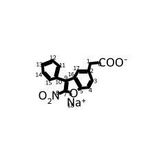 O=C([O-])Cc1ccc2oc([N+](=O)[O-])c(-c3ccccc3)c2c1.[Na+]